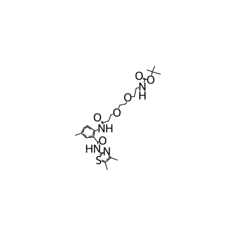 Cc1ccc(NC(=O)CCOCCOCCNC(=O)OC(C)(C)C)c(C(=O)Nc2nc(C)c(C)s2)c1